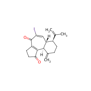 C=C1CC[C@H](C(=C)C)[C@H]2C=C(I)C(=O)C3=C(C(=O)CC3)[C@H]12